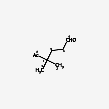 CC(=O)C(C)(C)CCC=O